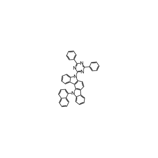 c1ccc(-c2nc(-c3ccccc3)nc(-n3c4ccccc4c4c3ccc3c5ccccc5n(-c5cccc6ccccc56)c34)n2)cc1